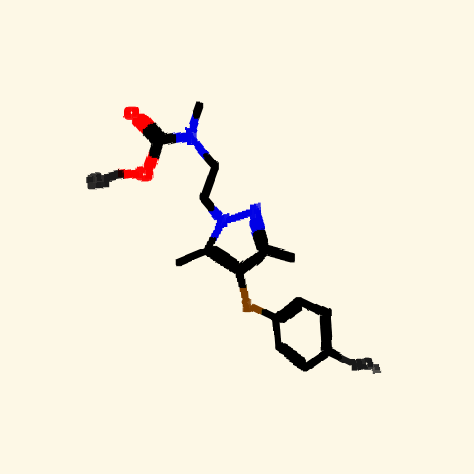 Cc1nn(CCN(C)C(=O)OC(C)(C)C)c(C)c1Sc1ccc([N+](=O)[O-])cc1